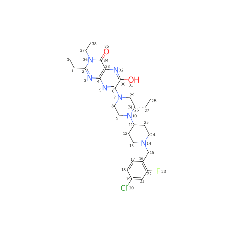 CCc1nc2nc(N3CCN(C4CCN(Cc5ccc(Cl)cc5F)CC4)[C@@H](CC)C3)c(O)nc2c(=O)n1CC